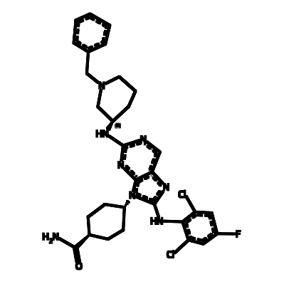 NC(=O)[C@H]1CC[C@H](n2c(Nc3c(Cl)cc(F)cc3Cl)nc3cnc(N[C@@H]4CCCN(Cc5ccccc5)C4)nc32)CC1